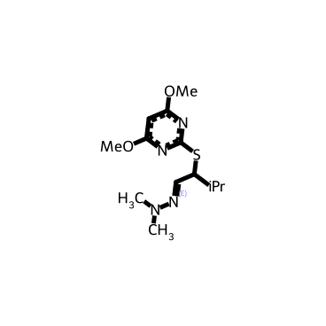 COc1cc(OC)nc(SC(/C=N/N(C)C)C(C)C)n1